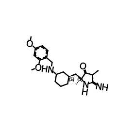 COc1ccc(CNC2CCC[C@H](C[C@]3(C)NC(=N)C(C)C3=O)C2)c(OC)c1